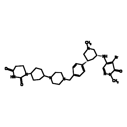 CN1C[C@H](Nc2cnn(C)c(=O)c2Br)C[C@H](c2ccc(CN3CCN(C4CCC(N5CCC(=O)NC5=O)CC4)CC3)cc2)C1